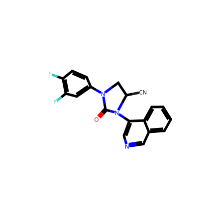 N#CC1CN(c2ccc(F)c(F)c2)C(=O)N1c1cncc2ccccc12